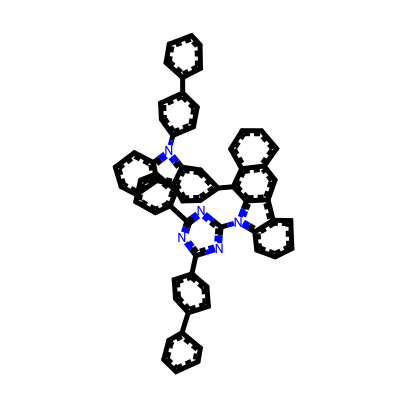 c1ccc(-c2ccc(-c3nc(-c4ccccc4)nc(-n4c5ccccc5c5cc6ccccc6c(-c6ccc7c8ccccc8n(-c8ccc(-c9ccccc9)cc8)c7c6)c54)n3)cc2)cc1